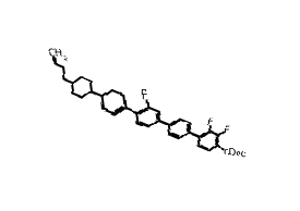 C=CCCC1CCC(C2CC=C(c3ccc(-c4ccc(-c5ccc(CCCCCCCCCC)c(F)c5F)cc4)cc3F)CC2)CC1